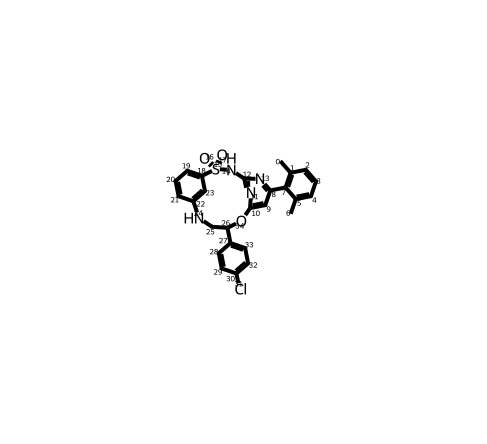 Cc1cccc(C)c1-c1cc2nc(n1)NS(=O)(=O)c1cccc(c1)NCC(c1ccc(Cl)cc1)O2